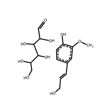 COc1cc(/C=C/CO)ccc1O.O=CC(O)C(O)C(O)C(O)CO